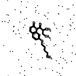 CCC(C)C(=O)n1c(=O)ccc2ccc(OCCCCN)cc21